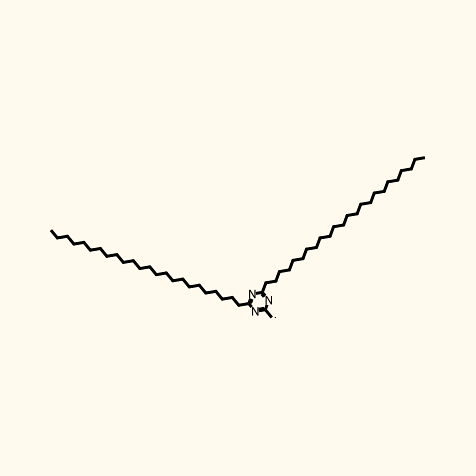 [CH2]c1nc(CCCCCCCCCCCCCCCCCCCCCCCC)nc(CCCCCCCCCCCCCCCCCCCCCCCC)n1